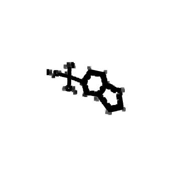 CCC(C)(C)c1ccc2sccc2c1